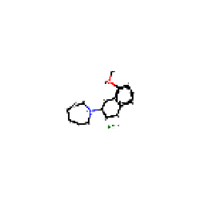 COc1cccc2c1CC(N1CCCCCC1)CC2.Cl